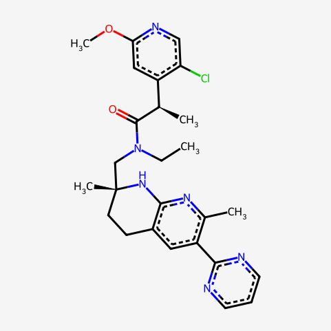 CCN(C[C@@]1(C)CCc2cc(-c3ncccn3)c(C)nc2N1)C(=O)[C@H](C)c1cc(OC)ncc1Cl